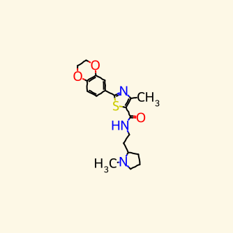 Cc1nc(-c2ccc3c(c2)OCCO3)sc1C(=O)NCCC1CCCN1C